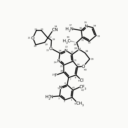 Cc1cc(N)nc(-c2c(Cl)c3c4c(nc(OCC5(C#N)CCOCC5)nc4c2F)N([C@H](C)c2cccnc2N)CCO3)c1C(F)(F)F